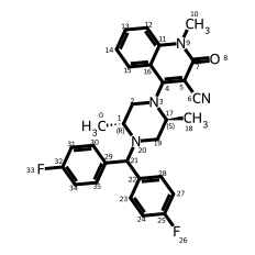 C[C@@H]1CN(c2c(C#N)c(=O)n(C)c3ccccc23)[C@@H](C)CN1C(c1ccc(F)cc1)c1ccc(F)cc1